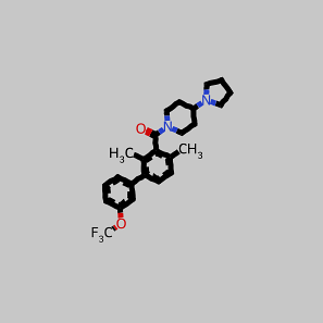 Cc1ccc(-c2cccc(OC(F)(F)F)c2)c(C)c1C(=O)N1CCC(N2CCCC2)CC1